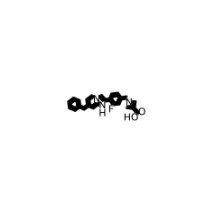 O=C(O)C1CN(Cc2ccc(C3=CN4CC=C(Cc5ccccc5)C=C4N3)c(F)c2)C1